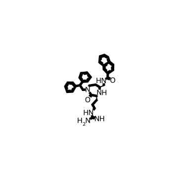 N=C(N)NCCC[C@@H]1N[C@H](CNC(=O)c2ccc3ccccc3c2)CCN(CC(c2ccccc2)c2ccccc2)C1=O